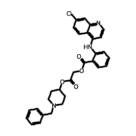 O=C(COC(=O)c1ccccc1Nc1ccnc2cc(Cl)ccc12)OC1CCN(Cc2ccccc2)CC1